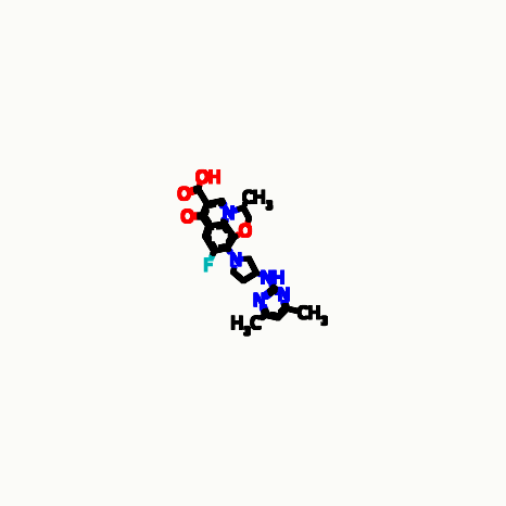 Cc1cc(C)nc(N[C@H]2CCN(c3c(F)cc4c(=O)c(C(=O)O)cn5c4c3OC[C@@H]5C)C2)n1